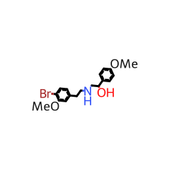 COc1ccc(C(O)CNCCc2ccc(Br)c(OC)c2)cc1